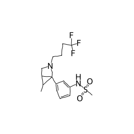 CC1C2CN(CCCC(F)(F)F)CC12c1cccc(NS(C)(=O)=O)c1